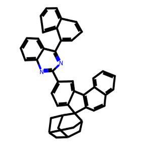 c1ccc2c(-c3nc(-c4ccc5c(c4)-c4c(ccc6ccccc46)C54C5CC6CC(C5)CC4C6)nc4ccccc34)cccc2c1